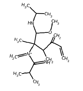 C=CC(=C)C(C)C(C)(C(NC(C)C)OC)[N+](=C)C(=N)C(C)C